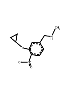 CNCc1ccc([N+](=O)[O-])c(OC2CC2)c1